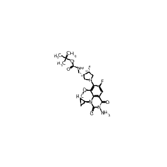 COc1c(N2C[C@H](CNC(=O)OC(C)(C)C)[C@H](F)C2)c(F)cc2c(=O)n(N)c(=O)n(C3CC3)c12